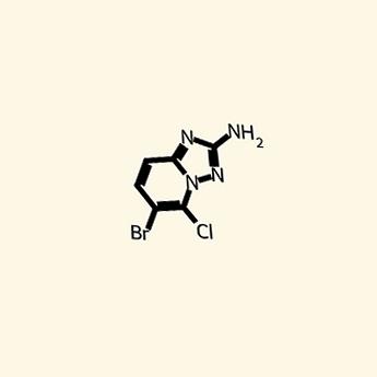 Nc1nc2ccc(Br)c(Cl)n2n1